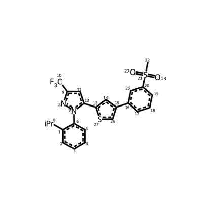 CC(C)c1ccccc1-n1nc(C(F)(F)F)cc1-c1cc(-c2cccc(S(C)(=O)=O)c2)cs1